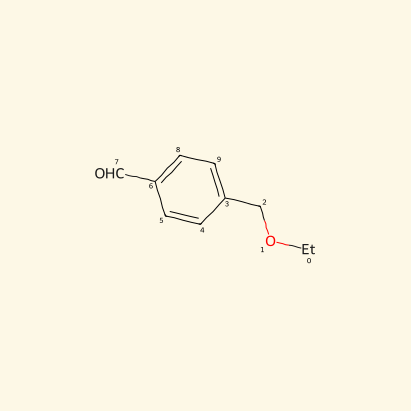 CCOCc1ccc(C=O)cc1